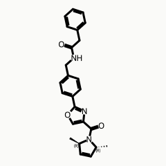 C[C@@H]1C=C[C@@H](C)N1C(=O)c1coc(-c2ccc(CNC(=O)Cc3ccccc3)cc2)n1